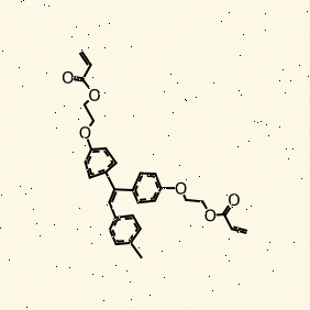 C=CC(=O)OCCOc1ccc(C(=Cc2ccc(C)cc2)c2ccc(OCCOC(=O)C=C)cc2)cc1